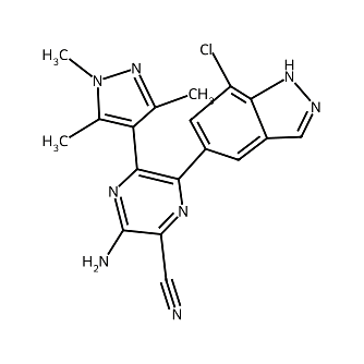 Cc1nn(C)c(C)c1-c1nc(N)c(C#N)nc1-c1cc(Cl)c2[nH]ncc2c1